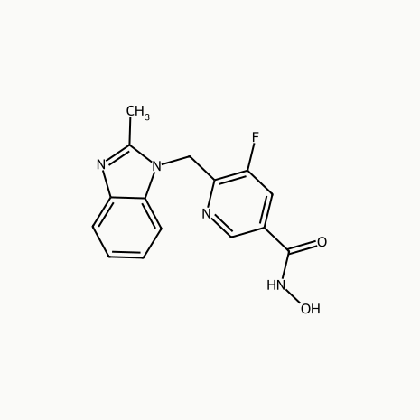 Cc1nc2ccccc2n1Cc1ncc(C(=O)NO)cc1F